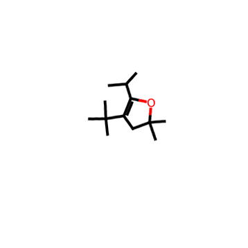 CC(C)C1=C(C(C)(C)C)CC(C)(C)O1